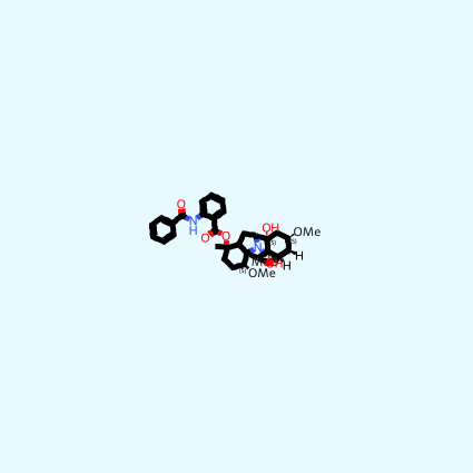 CO[C@H]1C[C@]2(O)C3CC4C(C)(OC(=O)c5ccccc5NC(=O)c5ccccc5)CC[C@H](OC)C4(C4C[C@H]1[C@H](OC)[C@@]42O)N3C